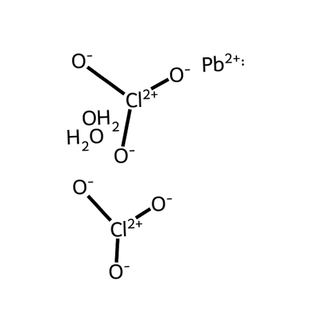 O.O.[O-][Cl+2]([O-])[O-].[O-][Cl+2]([O-])[O-].[Pb+2]